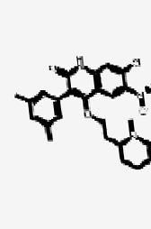 Cc1cc(C)cc(-c2c(OCCC3CCCCN3C)c3cc([N+](=O)[O-])c(Cl)cc3[nH]c2=O)c1